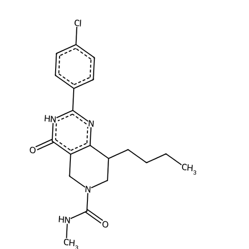 CCCCC1CN(C(=O)NC)Cc2c1nc(-c1ccc(Cl)cc1)[nH]c2=O